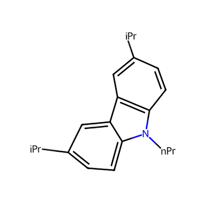 CCCn1c2ccc(C(C)C)cc2c2cc(C(C)C)ccc21